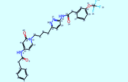 O=C(Cc1ccccc1)Nc1ccn(CCCCc2ccc(NC(=O)Cc3cccc(OC(F)(F)F)c3)nn2)c(=O)c1